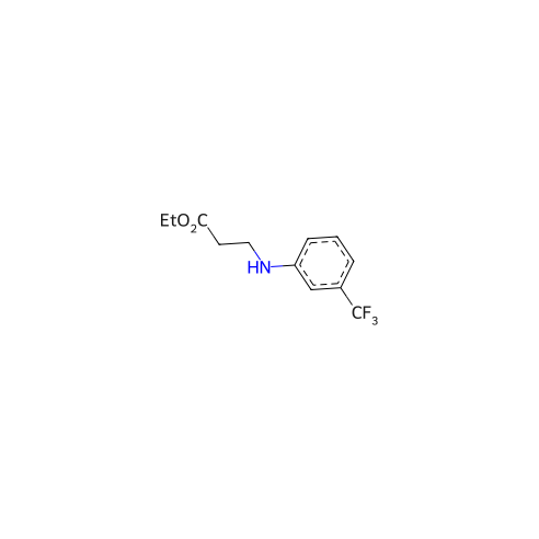 CCOC(=O)CCNc1cccc(C(F)(F)F)c1